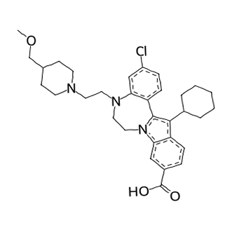 COCC1CCN(CCN2CCn3c(c(C4CCCCC4)c4ccc(C(=O)O)cc43)-c3ccc(Cl)cc32)CC1